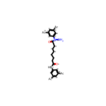 CC(=O)c1cc(BC(=O)CCCCCCC(=O)N(N)c2cc(C(C)=O)cc(C(C)=O)c2)cc(C(C)=O)c1